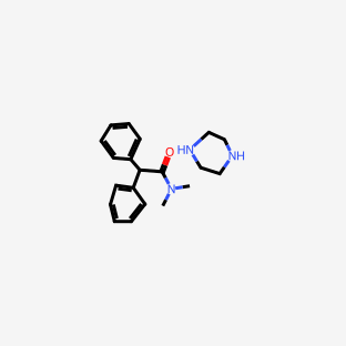 C1CNCCN1.CN(C)C(=O)C(c1ccccc1)c1ccccc1